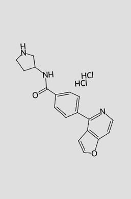 Cl.Cl.O=C(NC1CCNC1)c1ccc(-c2nccc3occc23)cc1